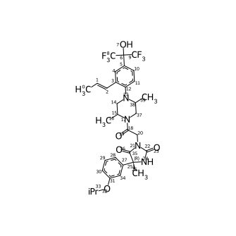 CC=Cc1cc(C(O)(C(F)(F)F)C(F)(F)F)ccc1N1CC(C)N(C(=O)CN2C(=O)N[C@](C)(c3cccc(OC(C)C)c3)C2=O)CC1C